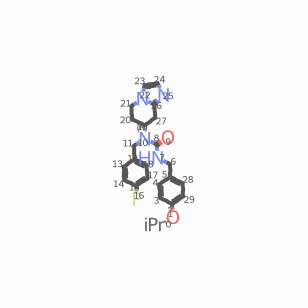 CC(C)Oc1ccc(CNC(=O)N(Cc2ccc(F)cc2)[C@@H]2CCn3ccnc3C2)cc1